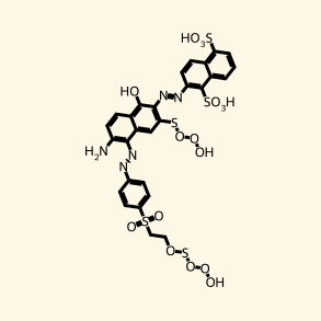 Nc1ccc2c(O)c(/N=N/c3ccc4c(S(=O)(=O)O)cccc4c3S(=O)(=O)O)c(SOOO)cc2c1/N=N/c1ccc(S(=O)(=O)CCOSOOO)cc1